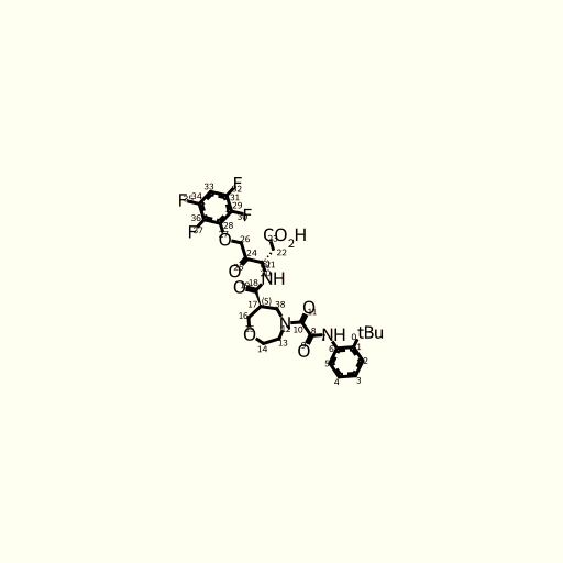 CC(C)(C)c1ccccc1NC(=O)C(=O)N1CCOC[C@@H](C(=O)N[C@@H](CC(=O)O)C(=O)COc2c(F)c(F)cc(F)c2F)C1